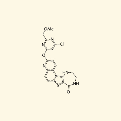 COCc1nc(Cl)cc(Oc2ccc3c(ccc4sc5c(c43)NCCNC5=O)n2)n1